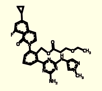 CCOCCC(=O)OCc1c(-c2nc(N)nc(Nc3cnn(C)c3)n2)cccc1-n1ccc2cc(C3CC3)cc(F)c2c1=O